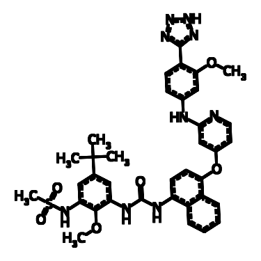 COc1cc(Nc2cc(Oc3ccc(NC(=O)Nc4cc(C(C)(C)C)cc(NS(C)(=O)=O)c4OC)c4ccccc34)ccn2)ccc1-c1nn[nH]n1